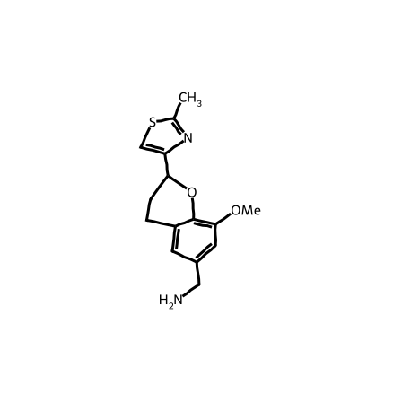 COc1cc(CN)cc2c1OC(c1csc(C)n1)CC2